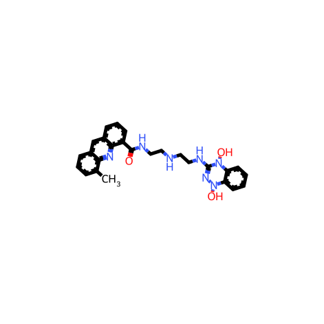 Cc1cccc2cc3cccc(C(=O)NCCNCCNC4=NN(O)c5ccccc5N4O)c3nc12